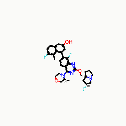 Cc1c(F)ccc2cc(O)cc(-c3ccc4c(N5CCOC[C@@H]5C)nc(OC[C@@]56CCCN5C[C@H](F)C6)nc4c3F)c12